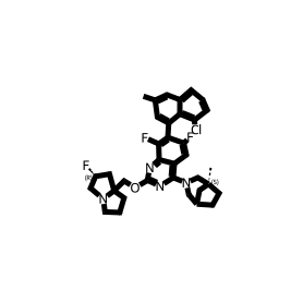 Cc1cc(-c2c(F)cc3c(N4CC5CC[C@@](C)(C5)C4)nc(OCC45CCCN4C[C@H](F)C5)nc3c2F)c2c(Cl)cccc2c1